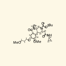 COCCCOc1cc(C(=O)N(C(C)C)C2CCC(CC(=O)NC3CC3)N(C(=O)OC(C)(C)C)C2)ccc1OC